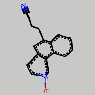 N#CCCc1cc2cc[n+]([O-])cc2c2ccccc12